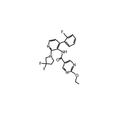 CCOc1ncc(C(=O)Nc2c(-c3ccccc3F)ccnc2N2CCC(F)(F)C2)cn1